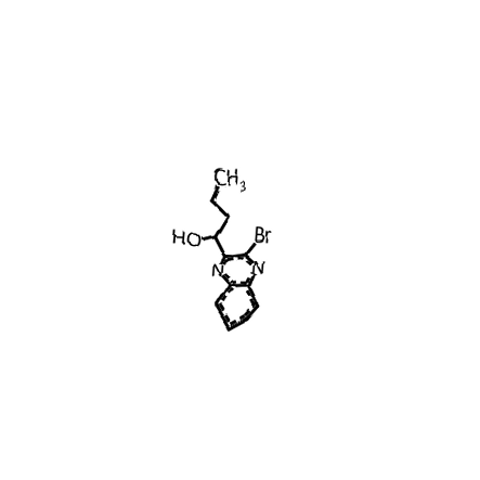 CCCC(O)c1nc2ccccc2nc1Br